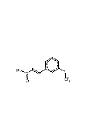 CC(C)(C)[S+]([O-])N=Cc1cccc(SC(F)(F)F)c1